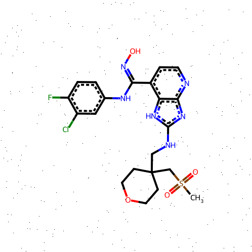 CS(=O)(=O)CC1(CNc2nc3nccc(/C(=N\O)Nc4ccc(F)c(Cl)c4)c3[nH]2)CCOCC1